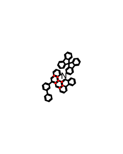 c1ccc(-c2cccc(-c3cccc(-c4c(N(c5ccc6c(c5)C5(c7ccccc7-c7ccccc75)c5ccccc5-6)c5ccccc5-c5ccccc5)c5ccccc5c5ccccc45)c3)c2)cc1